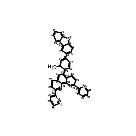 CC1C=C(c2ccc3sc4ccccc4c3c2)C=CC1c1cc2ccc(-c3ccccn3)nc2c2nc(-c3ccccn3)ccc12